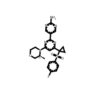 C[C@H]1COCCN1c1cc(C2(S(=O)(=O)c3ccc(F)cc3)CC2)nc(-c2cnc(N)nc2)n1